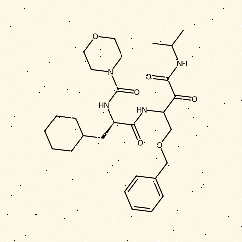 CC(C)NC(=O)C(=O)C(COCc1ccccc1)NC(=O)[C@@H](CC1CCCCC1)NC(=O)N1CCOCC1